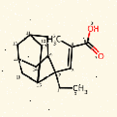 CCC1(C=C(C)C(=O)O)[C]2CC3CC(C2)CC1C3